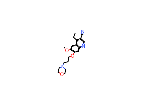 CCc1c(C#N)cnc2cc(OCCCN3CCOCC3)c(OC)cc12